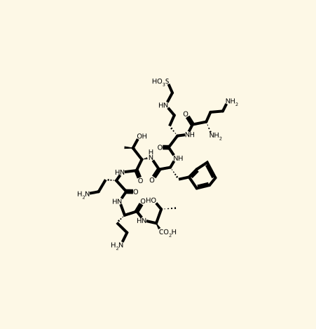 C[C@@H](O)[C@H](NC(=O)[C@H](CCN)NC(=O)[C@H](CCN)NC(=O)[C@@H](NC(=O)[C@@H](Cc1ccccc1)NC(=O)[C@H](CCNCS(=O)(=O)O)NC(=O)[C@@H](N)CCN)[C@@H](C)O)C(=O)O